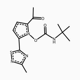 CC(=O)c1ccc(-c2nc(C)ns2)n1OC(=O)NC(C)(C)C